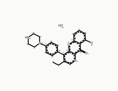 CCc1cnc2c(=O)c3c(Cl)cccc3oc2c1-c1ccc(N2CCNCC2)cc1.Cl